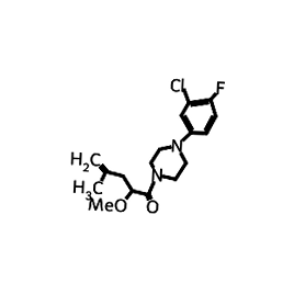 C=C(C)CC(OC)C(=O)N1CCN(c2ccc(F)c(Cl)c2)CC1